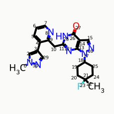 Cn1cc(-c2cccnc2Cc2nc3c(cnn3C3CCC(C)(F)CC3)c(=O)[nH]2)cn1